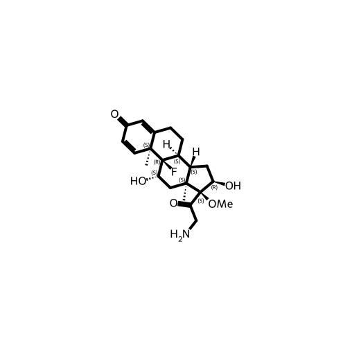 CO[C@]1(C(=O)CN)[C@H](O)C[C@H]2[C@@H]3CCC4=CC(=O)C=C[C@]4(C)[C@@]3(F)[C@@H](O)C[C@@]21C